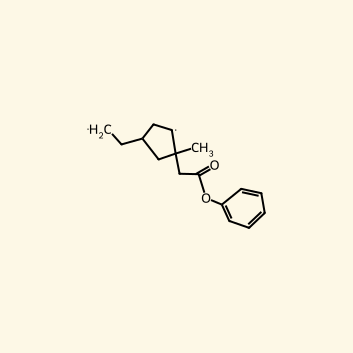 [CH2]CC1C[CH]C(C)(CC(=O)Oc2ccccc2)C1